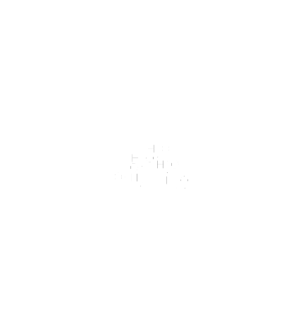 O.O.O.O.O.[Os]